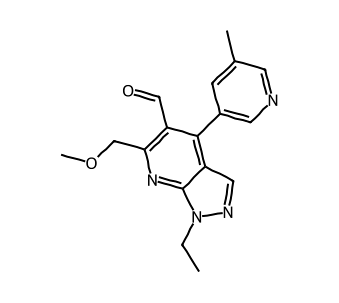 CCn1ncc2c(-c3cncc(C)c3)c(C=O)c(COC)nc21